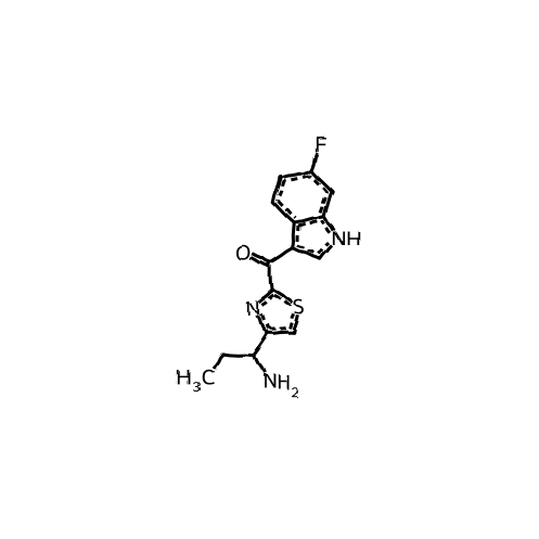 CCC(N)c1csc(C(=O)c2c[nH]c3cc(F)ccc23)n1